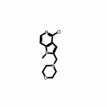 Cn1c(CN2CCOCC2)cc2c(Cl)nccc21